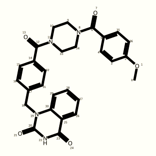 COc1ccc(C(=O)N2CCN(C(=O)c3ccc(Cn4c(=O)[nH]c(=O)c5ccccc54)cc3)CC2)cc1